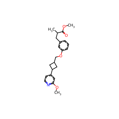 COC(=O)C(C)Cc1cccc(OCC2CC(c3ccnc(OC)c3)C2)c1